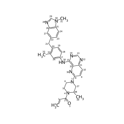 C=CC(=O)N1CCN(c2ccc3ncnc(Nc4ccc(Cc5ccc6c(c5)ncn6C)c(C)c4)c3n2)CC1C